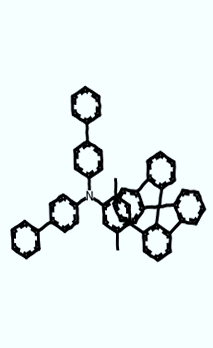 Cc1cc(N(c2ccc(-c3ccccc3)cc2)c2ccc(-c3ccccc3)cc2)c(C)cc1-c1cccc2c1C1(c3ccccc3-c3ccccc31)c1ccccc1-2